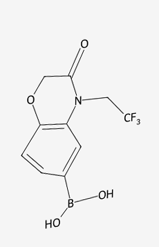 O=C1COc2ccc(B(O)O)cc2N1CC(F)(F)F